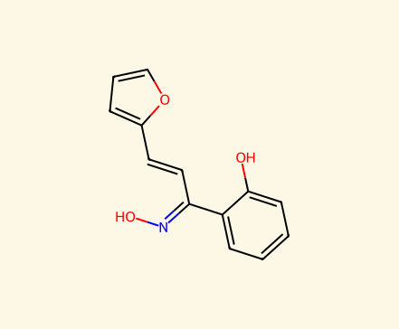 ON=C(C=Cc1ccco1)c1ccccc1O